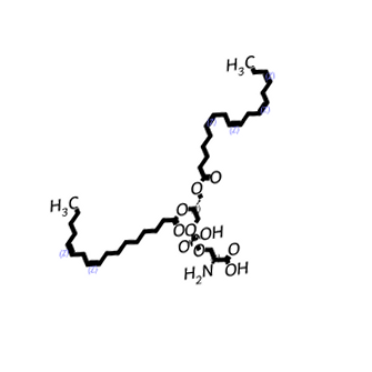 CC/C=C\C/C=C\C/C=C\C/C=C\CCCCC(=O)OC[C@H](COP(=O)(O)OC[C@H](N)C(=O)O)OC(=O)CCCCCCC/C=C\C/C=C\CCCC